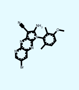 COc1ccc(C)c(-n2c(N)c(C#N)c3nc4ncc(Br)cc4nc32)c1C